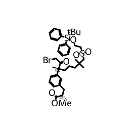 COC(=O)[C@@H](C)Cc1cccc([C@@](C)(CCCC(C)(C)CS(=O)(=O)CCO[Si](c2ccccc2)(c2ccccc2)C(C)(C)C)C(=O)CBr)c1